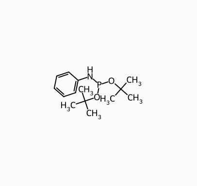 CC(C)(C)OP(Nc1ccccc1)OC(C)(C)C